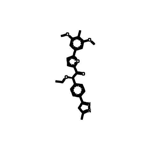 CCO[C@@H](C(=O)c1ccc(-c2cc(OC)c(C)c(OC)c2)o1)c1ccc(C2=NN=C(C)C2)cc1